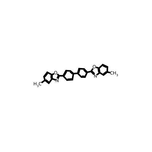 Cc1ccc2oc(-c3ccc(-c4ccc(-c5nc6cc(C)ccc6o5)cc4)cc3)nc2c1